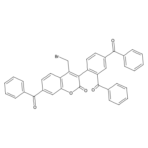 O=C(c1ccccc1)c1ccc(-c2c(CBr)c3ccc(C(=O)c4ccccc4)cc3oc2=O)c(C(=O)c2ccccc2)c1